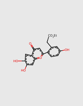 CCOC(=O)Cc1cc(O)ccc1-c1cc(=O)c2cc(O)c(O)cc2o1